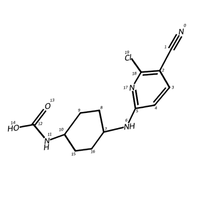 N#Cc1ccc(NC2CCC(NC(=O)O)CC2)nc1Cl